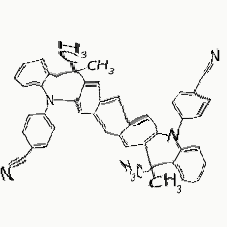 CC1(C)c2ccccc2N(c2ccc(C#N)cc2)c2cc3cc4cc5c(cc4cc3cc21)N(c1ccc(C#N)cc1)c1ccccc1C5(C)C